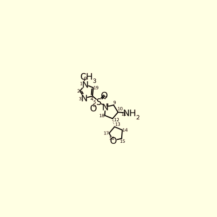 Cn1cnc(S(=O)(=O)N2CC(N)C([C@@H]3CCOC3)C2)c1